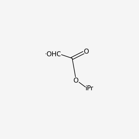 CC(C)OC(=O)[C]=O